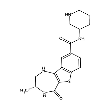 C[C@@H]1CNc2c(sc3ccc(C(=O)NC4CCCNC4)cc23)C(=O)N1